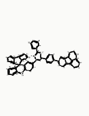 C1=C(c2cc(-c3ccc(-c4ccc5c(c4)-c4cccc6cccc-5c46)cc3)nc(-c3ccccc3)n2)CCC2=C1C1(c3ccccc3O2)c2ccccc2-c2ccccc21